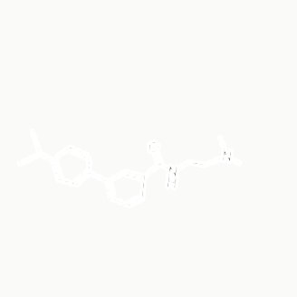 CC(C)c1ccc(-c2cccc(C(=O)NCCN(C)C)c2)cc1